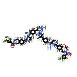 CN(c1ccc(-c2c[nH]nc2-n2cc(-c3ccc(Nc4nc(-c5ccc6c(c5)OCCN(C(=O)C5CC(F)(F)C5)C6)ncc4F)cc3)cn2)cc1)c1nc(-c2ccc3c(c2)CCN(C(=O)C2CC(F)(F)C2)C3)ncc1F